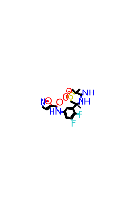 CC1(C)C(=N)N[C@](C)(c2cc(NC(=O)c3ccno3)cc(F)c2F)CS1(=O)=O